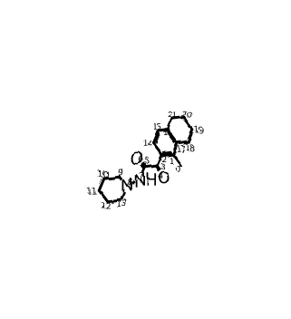 Cc1c(C(=O)C(=O)NN2CCCCC2)ccc2c1CCCC2